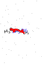 CCCCCCCCC(c1ccc(CCCCCCCCCCCCCCCCc2ccc(C(CCCCCCCC)c3ccc(N)cc3C)cc2)cc1)c1ccc(N)cc1C